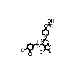 Cc1sc2nc(N3CCC(OC(=O)O)CC3)nc(NCc3ccc(Cl)c(Cl)c3)c2c1Cl